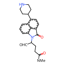 CNC(=O)CCC(C=O)N1C(=O)c2ccc(C3CCNCC3)c3cccc1c23